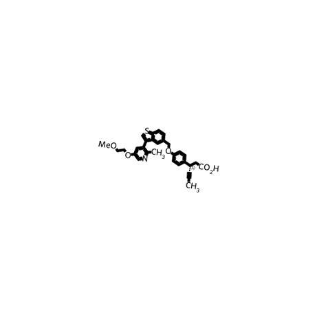 CC#C[C@@H](CC(=O)O)c1ccc(OCc2ccc3scc(-c4cc(OCCOC)cnc4C)c3c2)cc1